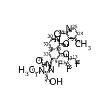 CCn1c(CO)nn(-c2cc(OC(CF)C(F)F)c3c(Oc4c(C)ccnc4Cl)nccc3c2)c1=O